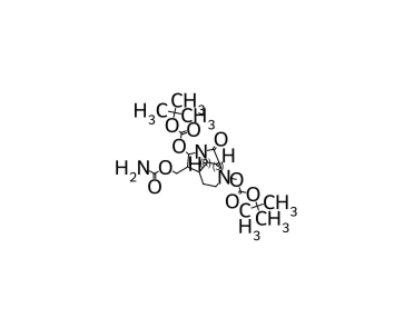 CC(C)(C)OC(=O)OC1=C(COC(N)=O)C2CCN(OC(=O)OC(C)(C)C)[C@@H]3C(=O)N1[C@H]23